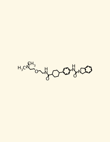 CN(C)CCOCCNC(=O)C1CCC(c2ccc(NC(=O)N3Cc4ccccc4C3)cc2)CC1